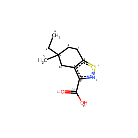 CCC1(C)CCc2snc(C(=O)O)c2C1